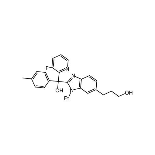 CCn1c(C(O)(c2ccc(C)cc2)c2ncccc2F)nc2ccc(CCCO)cc21